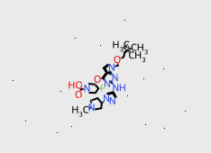 CN1CCC(n2cc(Nc3nc(O[C@H]4CN(C(=O)O)CC[C@H]4F)c4ccn(COCC[Si](C)(C)C)c4n3)cn2)CC1